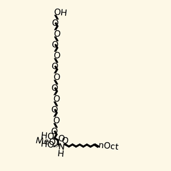 CCCCCCCCC=CCCCCCCCC(=O)N[C@@H](CO)C(=O)C(O)(COCCOCCOCCOCCOCCOCCOCCOCCOCCOCCOCCO)OC